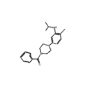 Cc1ccc(N2CCN(C(=O)c3ccccc3)CC2)cc1NC(C)C